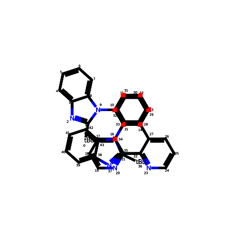 CC(C)(C)c1nc2ccccc2n1-c1ccccc1-c1cccnc1-c1ncccc1-c1ccccc1-n1c(C(C)(C)C)nc2ccccc21